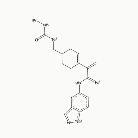 C=C(C(=N)Nc1ccc2[nH]ncc2c1)C1=CCC(CNC(=O)NC(C)C)CC1